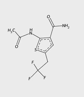 CC(=O)Nc1sc(CC(F)(F)F)cc1C(N)=O